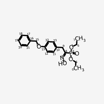 CCOP(=O)(OCC)C(Cc1ccc(OCc2ccccc2)cc1)=NO